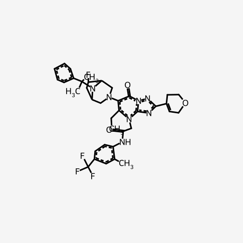 CCc1c(N2CC3CC(F)C(C2)N3C(C)(C)c2ccccc2)c(=O)n2nc(C3=CCOCC3)nc2n1CC(=O)Nc1ccc(C(F)(F)F)cc1C